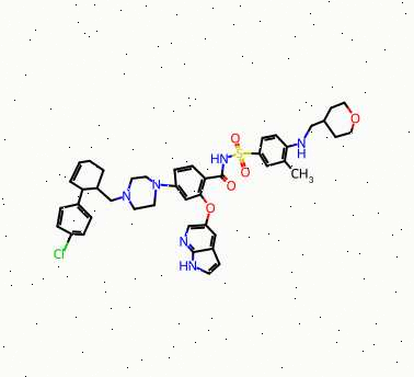 Cc1cc(S(=O)(=O)NC(=O)c2ccc(N3CCN(CC4CCC=CC4c4ccc(Cl)cc4)CC3)cc2Oc2cnc3[nH]ccc3c2)ccc1NCC1CCOCC1